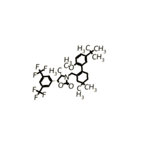 COc1ccc(C(C)(C)C)cc1C1=C(CN2C(=O)O[C@H](c3cc(C(F)(F)F)cc(C(F)(F)F)c3)[C@@H]2C)CC(C)(C)CC1